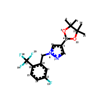 CC1(C)OB(c2cnn(Cc3cc(F)ccc3C(F)(F)F)c2)OC1(C)C